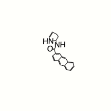 O=C(NC1CCC=CN1)c1ccc2cc3ccccc3cc2c1